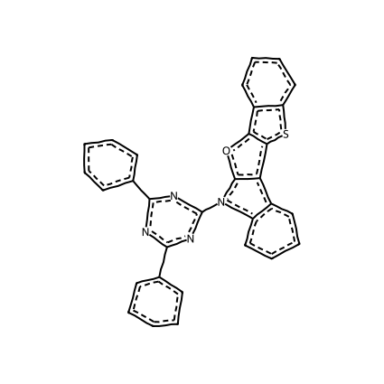 c1ccc(-c2nc(-c3ccccc3)nc(-n3c4ccccc4c4c5sc6ccccc6c5oc43)n2)cc1